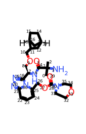 CC(C)(N)C(=O)N[C@H](COCC1C[C@@H]2CC[C@H]1C2)c1nnc2cccc(COC(=O)N3CCOCC3)n12